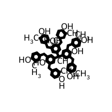 CC1=C(O)C=CC(C)(Cc2cc(C(C)(c3cc(Cc4ccc(O)c(C)c4)c(O)c(Cc4ccc(O)c(C)c4)c3)c3cc(Cc4ccc(O)c(C)c4)c(O)c(Cc4ccc(O)c(C)c4)c3)cc(Cc3ccc(O)c(C)c3)c2O)C1